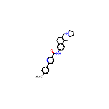 COc1ccc(-c2ccc(C(=O)Nc3ccc4c(c3)CCC(CN3CCCC3)=C4C)cn2)cc1